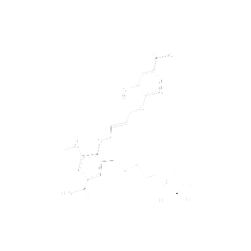 CC(C)(C)[Si](C)(C)OCCCOc1cc(C(N)=O)cc([N+](=O)[O-])c1NC/C=C/CNc1ncc(C(N)=O)cc1[N+](=O)[O-]